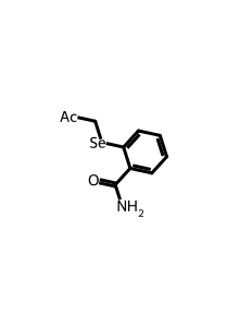 CC(=O)C[Se]c1ccccc1C(N)=O